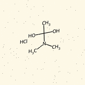 CN(C)C(C)(O)O.Cl